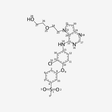 CS(=O)(=O)c1cccc(Oc2ccc(Nc3ncnc4ccn(CCOCCO)c34)cc2Cl)c1